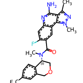 Cc1nn(C)c2c1c(N)nc1cc(F)c(C(=O)N(C)[C@@H]3COCc4cc(C(F)(F)F)ccc43)cc12